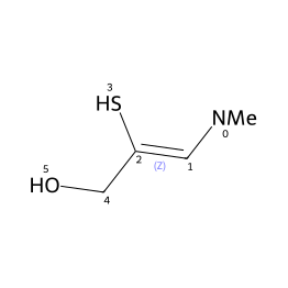 CN/C=C(\S)CO